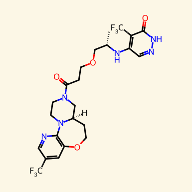 C[C@@H](COCCC(=O)N1CCN2c3ncc(C(F)(F)F)cc3OCC[C@@H]2C1)Nc1cn[nH]c(=O)c1C(F)(F)F